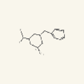 C[C@H]1CC(C(F)F)CN(Cc2ccccc2)C1